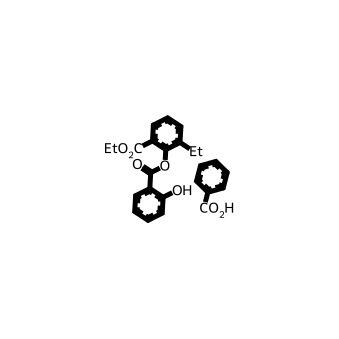 CCOC(=O)c1cccc(CC)c1OC(=O)c1ccccc1O.O=C(O)c1ccccc1